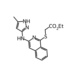 CCOC(=O)CSc1nc(Nc2cc(C)[nH]n2)cc2ccccc12